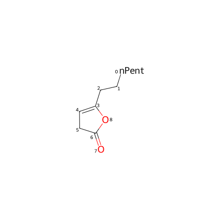 CCCCCCCC1=CCC(=O)O1